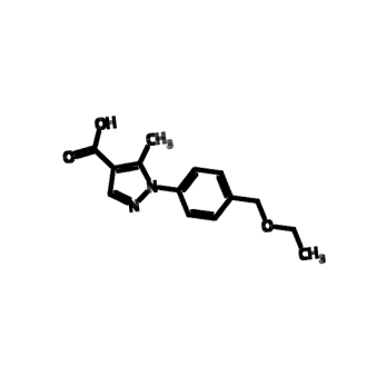 CCOCc1ccc(-n2ncc(C(=O)O)c2C)cc1